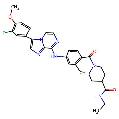 CCNC(=O)C1CCN(C(=O)c2ccc(Nc3nccn4c(-c5ccc(OC)c(F)c5)cnc34)cc2C)CC1